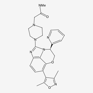 CNC(=O)CN1CCN(c2nc3ccc(-c4c(C)noc4C)c4c3n2[C@@H](c2ccccn2)CO4)CC1